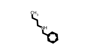 CCCCNCc1cc[c]cc1